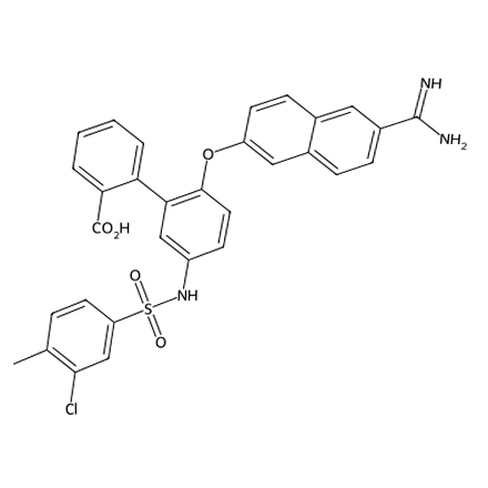 Cc1ccc(S(=O)(=O)Nc2ccc(Oc3ccc4cc(C(=N)N)ccc4c3)c(-c3ccccc3C(=O)O)c2)cc1Cl